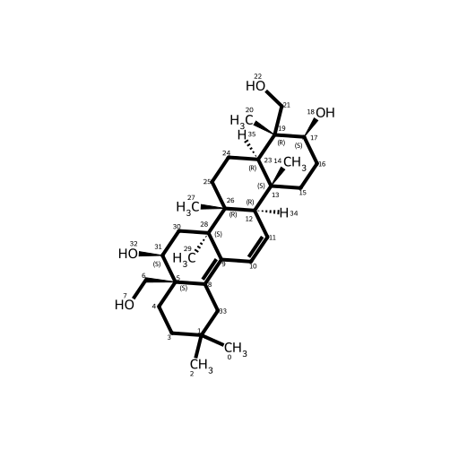 CC1(C)CC[C@@]2(CO)C(=C3C=C[C@@H]4[C@@]5(C)CC[C@H](O)[C@@](C)(CO)[C@@H]5CC[C@@]4(C)[C@]3(C)C[C@@H]2O)C1